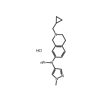 CCCN(c1ccc2c(c1)CN(CC1CC1)CC2)c1cnn(C)c1.Cl